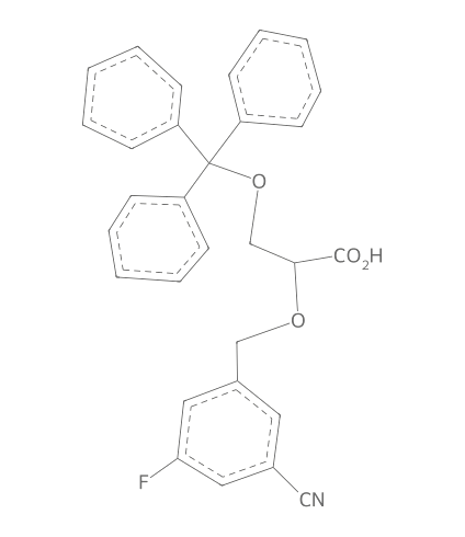 N#Cc1cc(F)cc(COC(COC(c2ccccc2)(c2ccccc2)c2ccccc2)C(=O)O)c1